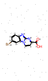 O=C(O)c1ccn2c(n1)nc1ccc(Br)cc12